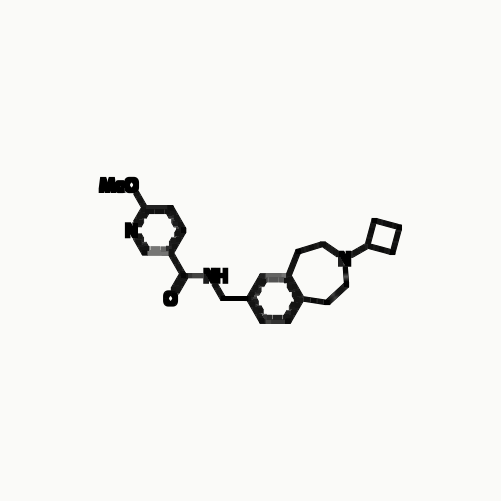 COc1ccc(C(=O)NCc2ccc3c(c2)CCN(C2CCC2)CC3)cn1